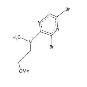 COCCN(C)c1ncc(Br)nc1Br